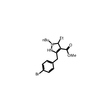 CCCCN1NC(Cc2ccc(Br)cc2)=C(C(=O)OC)C1CC